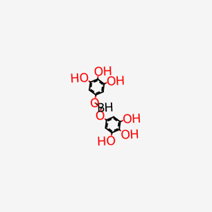 Oc1cc(OBOc2cc(O)c(O)c(O)c2)cc(O)c1O